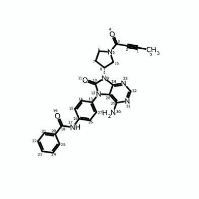 CC#CC(=O)N1CC[C@@H](n2c(=O)n(-c3ccc(NC(=O)c4ccccc4)cc3)c3c(N)ncnc32)C1